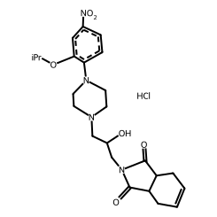 CC(C)Oc1cc([N+](=O)[O-])ccc1N1CCN(CC(O)CN2C(=O)C3CC=CCC3C2=O)CC1.Cl